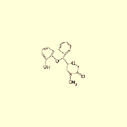 CN1CC(C(Oc2ccccc2O)c2ccccc2)OCC1=O